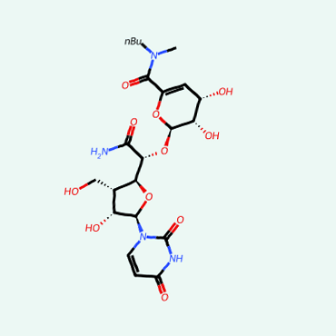 CCCCN(C)C(=O)C1=C[C@H](O)[C@H](O)[C@@H](O[C@@H](C(N)=O)[C@H]2O[C@@H](n3ccc(=O)[nH]c3=O)[C@H](O)[C@@H]2CO)O1